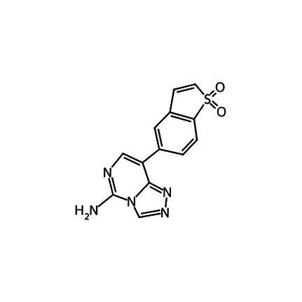 Nc1ncc(-c2ccc3c(c2)C=CS3(=O)=O)c2nncn12